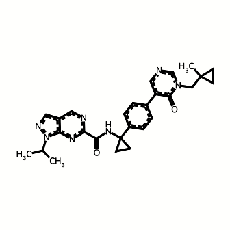 CC(C)n1ncc2cnc(C(=O)NC3(c4ccc(-c5cncn(CC6(C)CC6)c5=O)cc4)CC3)nc21